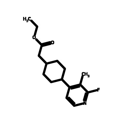 CCOC(=O)CC1CCC(c2ccnc(F)c2C)CC1